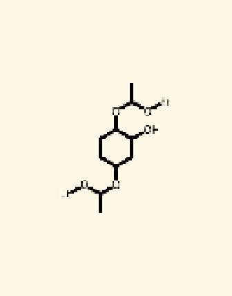 CCOC(C)OC1CCC(OC(C)OCC)C(O)C1